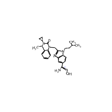 CC(C)CCn1c(CN2C(=O)N(C3CC3)C(C)c3ccccc32)nc2cc(/C(N)=N/O)ccc21